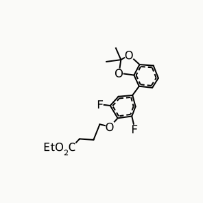 CCOC(=O)CCCOc1c(F)cc(-c2cccc3c2OC(C)(C)O3)cc1F